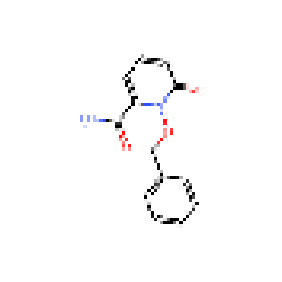 NC(=O)c1cccc(=O)n1OCc1ccccc1